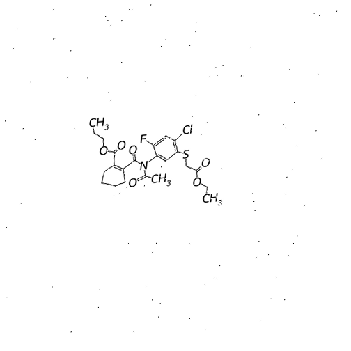 CCCOC(=O)C1=C(C(=O)N(C(C)=O)c2cc(SCC(=O)OCC)c(Cl)cc2F)CCCC1